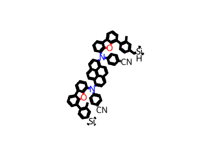 Cc1cc(C[SiH](C)C)ccc1-c1cccc2c1oc1c(N(c3ccc(C#N)cc3)c3ccc4ccc5c(N(c6ccc(C#N)cc6)c6cccc7c6oc6c(-c8ccc([Si](C)(C)C)cc8C)cccc67)ccc6ccc3c4c65)cccc12